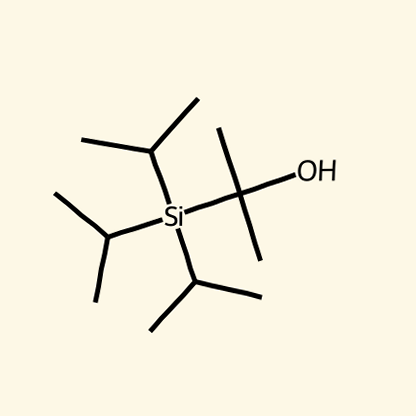 CC(C)[Si](C(C)C)(C(C)C)C(C)(C)O